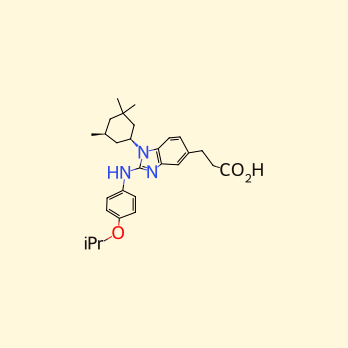 CC(C)Oc1ccc(Nc2nc3cc(CCC(=O)O)ccc3n2[C@H]2C[C@@H](C)CC(C)(C)C2)cc1